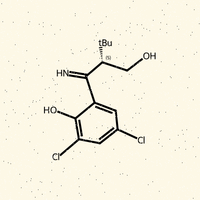 CC(C)(C)[C@H](CO)C(=N)c1cc(Cl)cc(Cl)c1O